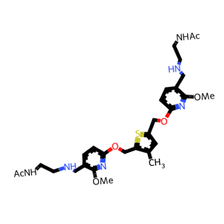 COc1nc(OCc2cc(C)c(COc3ccc(CNCCNC(C)=O)c(OC)n3)s2)ccc1CNCCNC(C)=O